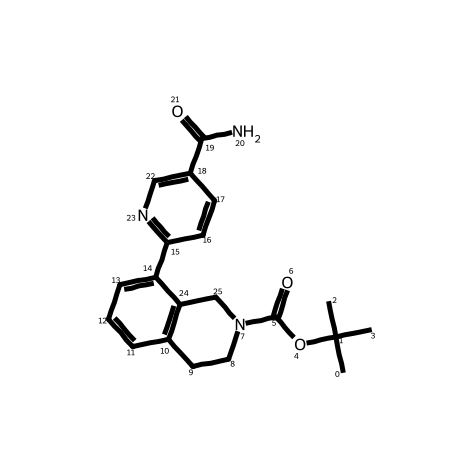 CC(C)(C)OC(=O)N1CCc2cccc(-c3ccc(C(N)=O)cn3)c2C1